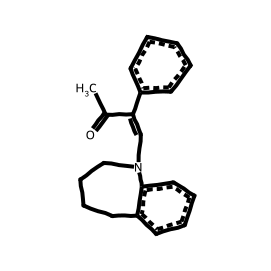 CC(=O)/C(=C\N1CCCCc2ccccc21)c1ccccc1